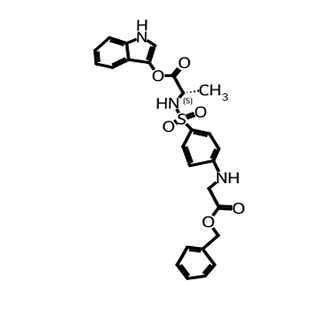 C[C@H](NS(=O)(=O)c1ccc(NCC(=O)OCc2ccccc2)cc1)C(=O)Oc1c[nH]c2ccccc12